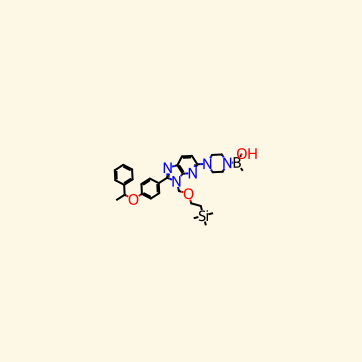 CB(O)N1CCN(c2ccc3nc(-c4ccc(OC(C)c5ccccc5)cc4)n(COCC[Si](C)(C)C)c3n2)CC1